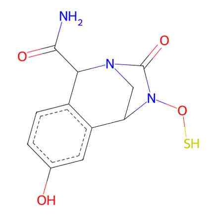 NC(=O)C1c2ccc(O)cc2C2CN1C(=O)N2OS